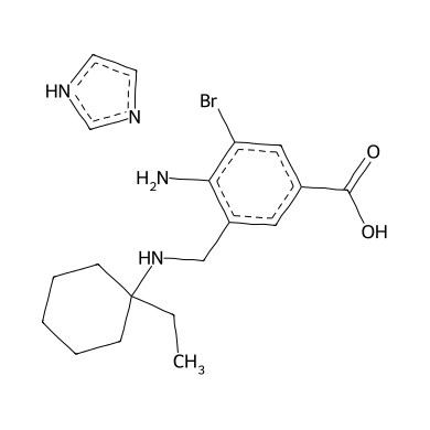 CCC1(NCc2cc(C(=O)O)cc(Br)c2N)CCCCC1.c1c[nH]cn1